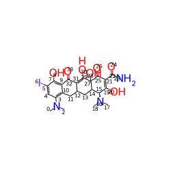 CN(C)c1cc(I)c(O)c2c1CC1CC3[C@H](N(C)C)C(O)=C(C(N)=O)C(=O)[C@@]3(O)C(O)=C1C2=O